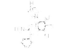 CCc1c(Cl)c(SC(C(N)=O)c2ccccc2)nc(N2CCNCC2)c1Cl